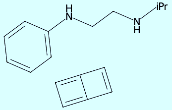 CC(C)NCCNc1ccccc1.c1cc2ccc1-2